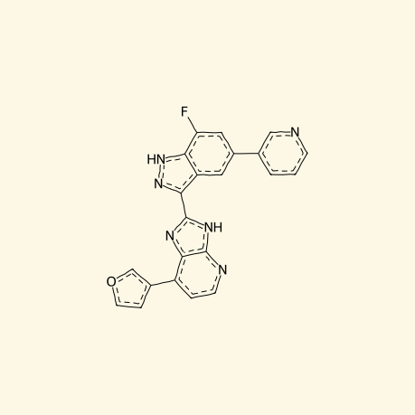 Fc1cc(-c2cccnc2)cc2c(-c3nc4c(-c5ccoc5)ccnc4[nH]3)n[nH]c12